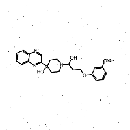 COc1cccc(OCCC(O)N2CCC(O)(c3cnc4ccccc4n3)CC2)c1